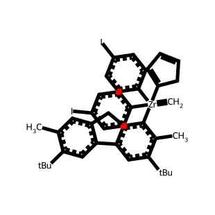 [CH2]=[Zr]([C]1=CC=CC1)([c]1ccc(I)cc1)([c]1ccc(I)cc1)[c]1c(C)c(C(C)(C)C)cc2c1Cc1cc(C)c(C(C)(C)C)cc1-2